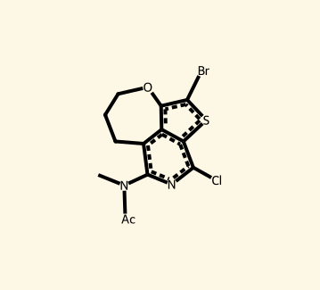 CC(=O)N(C)c1nc(Cl)c2sc(Br)c3c2c1CCCO3